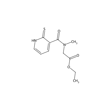 CCOC(=O)CN(C)C(=O)c1ccc[nH]c1=S